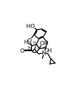 CC1C[N+](C)(CC2CC2)[C@@H]2Cc3ccc(O)c4c3[C@]13[C@@H](O4)C(=O)CC[C@@]23O